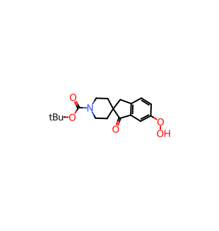 CC(C)(C)OC(=O)N1CCC2(CC1)Cc1ccc(OO)cc1C2=O